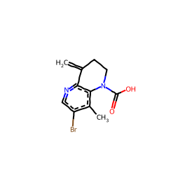 C=C1CCN(C(=O)O)c2c1ncc(Br)c2C